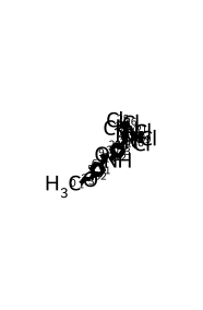 CCCOc1ccc(C(=O)Nc2ccc(-c3nc(C(Cl)(Cl)Cl)nc(C(Cl)(Cl)Cl)n3)cc2)cc1